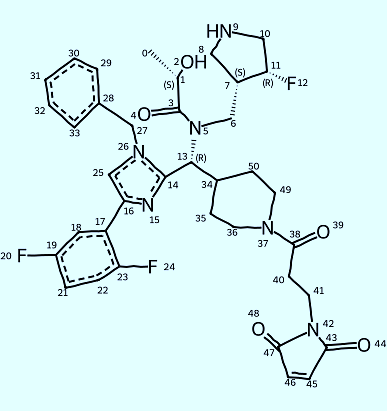 C[C@H](O)C(=O)N(C[C@@H]1CNC[C@@H]1F)[C@@H](c1nc(-c2cc(F)ccc2F)cn1Cc1ccccc1)C1CCN(C(=O)CCN2C(=O)C=CC2=O)CC1